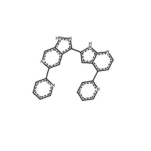 c1ccc(-c2cc3c(-c4cc5c(-c6ccccn6)ccnc5[nH]4)n[nH]c3cn2)nc1